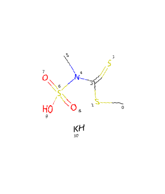 CSC(=S)N(C)S(=O)(=O)O.[KH]